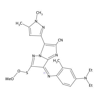 CCN(CC)c1ccc(/N=C2/C(SOOC)=Nn3c2nc(C#N)c3-c2cc(C)n(C)n2)c(C)c1